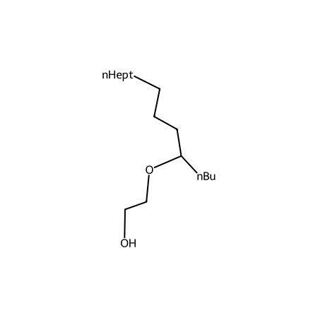 CCCCCCCCCCC(CCCC)OCCO